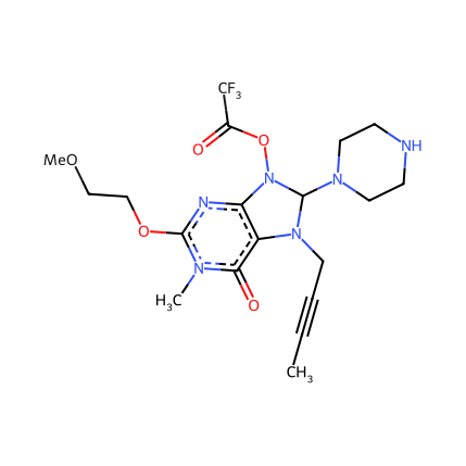 CC#CCN1c2c(nc(OCCOC)n(C)c2=O)N(OC(=O)C(F)(F)F)C1N1CCNCC1